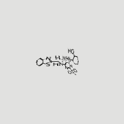 CS(=O)(=O)c1nc(NCc2nc3ccccc3s2)c(N)c(N[C@@H]2CCCC[C@@H]2O)n1